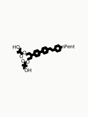 C=C(CO)C(=O)OCCC(CCOC(=O)C(C)(C)CO)c1ccc(-c2ccc(CCC3CCC(CCCCC)CC3)cc2)cc1